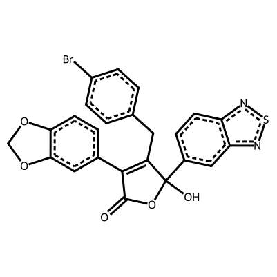 O=C1OC(O)(c2ccc3nsnc3c2)C(Cc2ccc(Br)cc2)=C1c1ccc2c(c1)OCO2